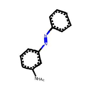 CC(=O)Nc1cccc(/N=N/c2ccccc2)c1